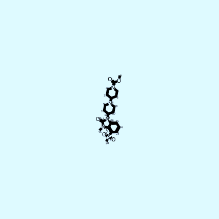 COC(=O)N1CCC(N2CCC(n3c(=O)n(C)c4c(S(C)(=O)=O)cccc43)CC2)CC1